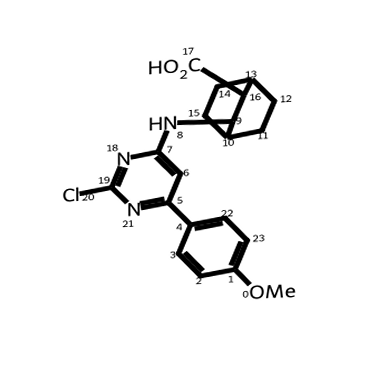 COc1ccc(-c2cc(NC3C4CCC(CC4)C3C(=O)O)nc(Cl)n2)cc1